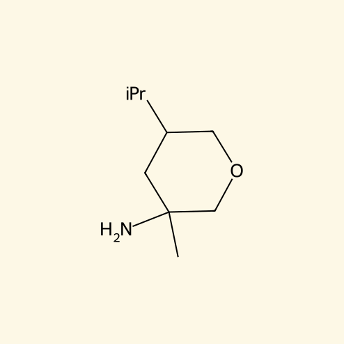 CC(C)C1COCC(C)(N)C1